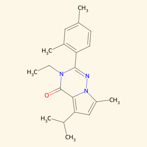 CCn1c(-c2ccc(C)cc2C)nn2c(C)cc(C(C)C)c2c1=O